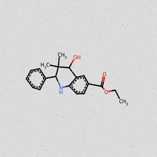 CCOC(=O)c1ccc2c(c1)C(O)C(C)(C)C(c1ccccc1)N2